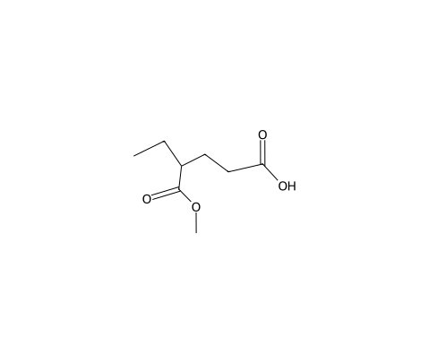 CCC(CCC(=O)O)C(=O)OC